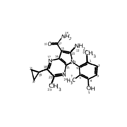 Cc1ccc(O)c(C)c1-n1c(N)c(C(N)=O)c2nc(C3CC3)c(C)nc21